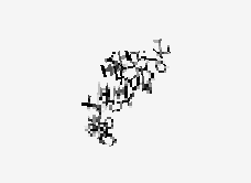 CCNC(=O)C(=O)C(CC1CC1)NC(=O)[C@@H]1[C@@H]2[C@H](CN1C(=O)[C@@H](NC(=O)N[C@H](CN(C)S(=O)(=O)N1CCCCC1)C(C)(C)C)C(C)(C)C)C2(C)C